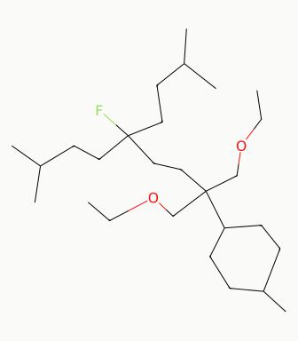 CCOCC(CCC(F)(CCC(C)C)CCC(C)C)(COCC)C1CCC(C)CC1